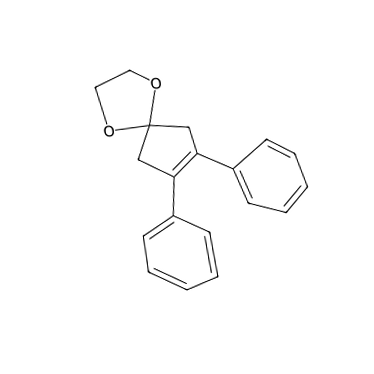 c1ccc(C2=C(c3ccccc3)CC3(C2)OCCO3)cc1